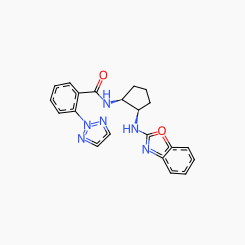 O=C(N[C@H]1CCC[C@H]1Nc1nc2ccccc2o1)c1ccccc1-n1nccn1